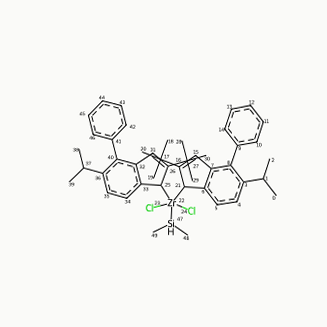 CC(C)c1ccc2c(c1-c1ccccc1)C=C(C(C)(C)C)[CH]2[Zr]([Cl])([Cl])([CH]1C(C(C)(C)C)=Cc2c1ccc(C(C)C)c2-c1ccccc1)[SiH](C)C